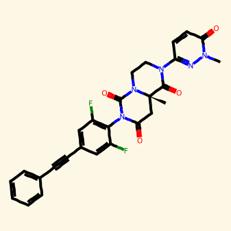 Cn1nc(N2CCN3C(=O)N(c4c(F)cc(C#Cc5ccccc5)cc4F)C(=O)C[C@@]3(C)C2=O)ccc1=O